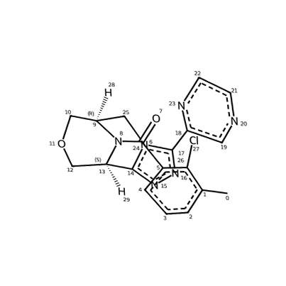 Cc1cccc(C(=O)N2[C@H]3COC[C@@H]2c2nnc(-c4cnccn4)n2C3)c1Cl